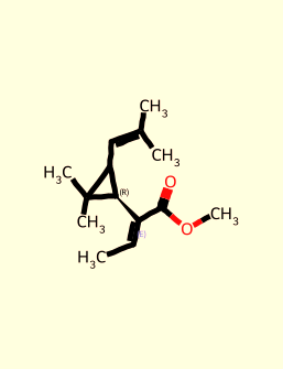 C/C=C(/C(=O)OC)[C@@H]1C(C=C(C)C)C1(C)C